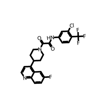 O=C(Nc1ccc(C(F)(F)F)c(Cl)c1)C(=O)N1CCC(c2ccnc3ccc(F)cc23)CC1